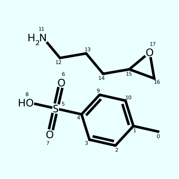 Cc1ccc(S(=O)(=O)O)cc1.NCCCC1CO1